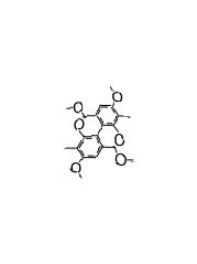 COC(=O)c1cc(OC)c(C)c(C)c1-c1c(C(=O)OC)cc(OC)c(C)c1C